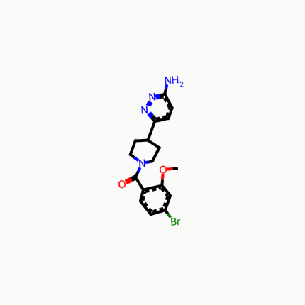 COc1cc(Br)ccc1C(=O)N1CCC(c2ccc(N)nn2)CC1